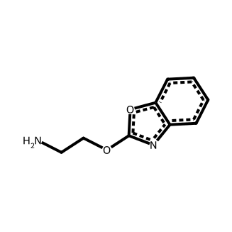 NCCOc1nc2ccccc2o1